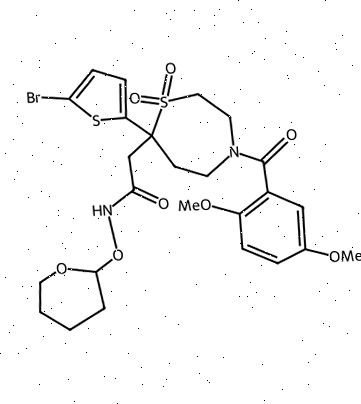 COc1ccc(OC)c(C(=O)N2CCC(CC(=O)NOC3CCCCO3)(c3ccc(Br)s3)S(=O)(=O)CC2)c1